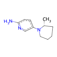 C[C@@H]1CCCCN1c1ccc(N)nc1